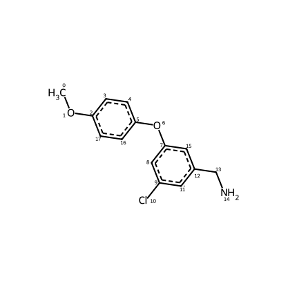 COc1ccc(Oc2cc(Cl)[c]c(CN)c2)cc1